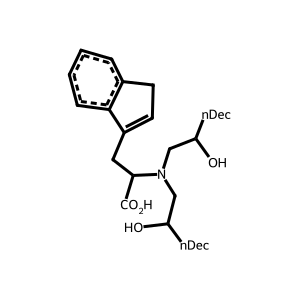 CCCCCCCCCCC(O)CN(CC(O)CCCCCCCCCC)C(CC1=CCc2ccccc21)C(=O)O